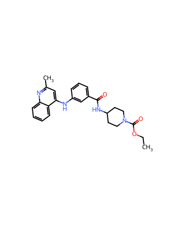 CCOC(=O)N1CCC(NC(=O)c2cccc(Nc3cc(C)nc4ccccc34)c2)CC1